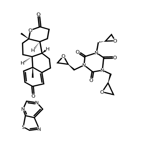 C[C@]12C=CC(=O)C=C1CC[C@@H]1[C@@H]2CC[C@]2(C)OC(=O)CC[C@@H]12.O=c1n(C[C@H]2CO2)c(=O)n(C[C@@H]2CO2)c(=O)n1C[C@H]1CO1.c1ncc2ncsc2n1